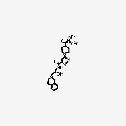 CCCN(CCC)C(=O)C1CCN(c2cc(C(=O)NC[C@H](O)CN3CCc4ccccc4C3)ncn2)CC1